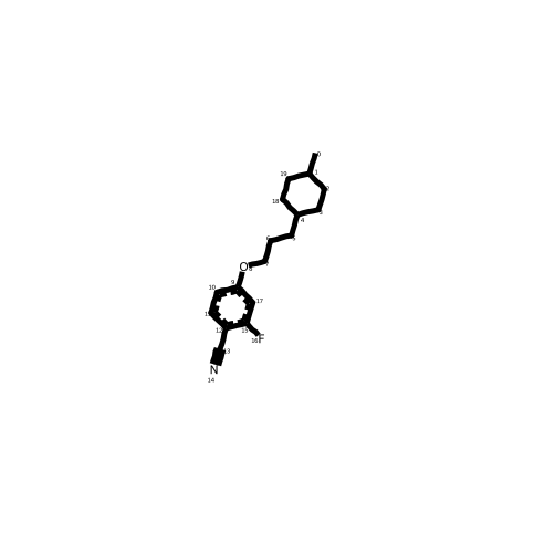 CC1CCC(CCCOc2ccc(C#N)c(F)c2)CC1